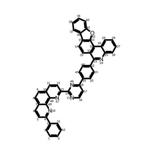 c1ccc(-c2ccc3ccc4ccc(-c5nccc(-c6ccc(-c7nc8ccccc8c8c7ccc7c9ccccc9oc78)cc6)n5)nc4c3n2)cc1